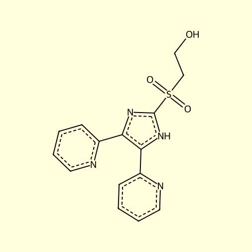 O=S(=O)(CCO)c1nc(-c2ccccn2)c(-c2ccccn2)[nH]1